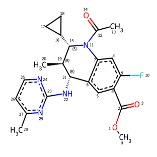 COC(=O)c1cc2c(cc1F)N(C(C)=O)[C@@H](C1CC1)[C@H](C)[C@H]2Nc1nccc(C)n1